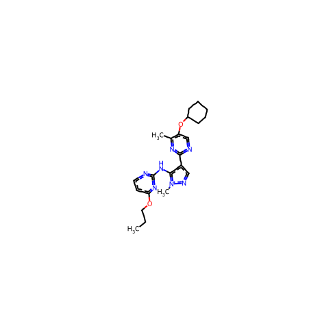 CCCOc1ccnc(Nc2c(-c3ncc(OC4CCCCC4)c(C)n3)cnn2C)n1